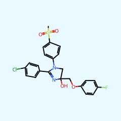 CS(=O)(=O)c1ccc(N2CC(O)(COc3ccc(F)cc3)N=C2c2ccc(Cl)cc2)cc1